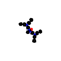 O=c1n(-c2ccc(N(c3ccc(-c4ccccc4)cc3)c3ccc(-c4ccccc4)cc3)cc2)c2ccccc2n1-c1ccc(N(c2ccc(-c3ccccc3)cc2)c2ccc(-c3ccccc3)cc2)cc1